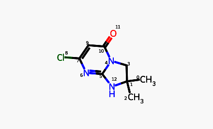 CC1(C)Cn2c(nc(Cl)cc2=O)N1